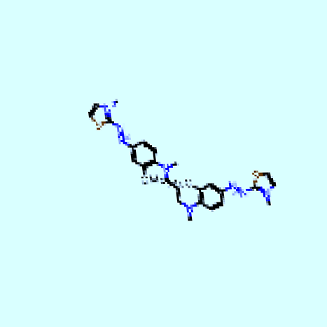 COc1cc(/N=N/c2scc[n+]2C)ccc1N(C)CCCN(C)c1ccc(/N=N/c2scc[n+]2C)cc1OC